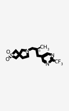 C[C@@H](Cc1cnc(C(F)(F)F)nc1)CN1CCC2(C1)CS(=O)(=O)C2